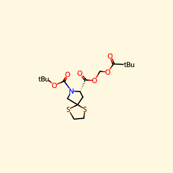 CC(C)(C)OC(=O)N1CC2(C[C@H]1C(=O)OCOC(=O)C(C)(C)C)SCCS2